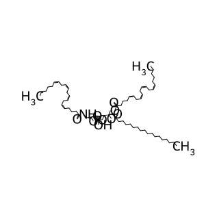 CCCCC/C=C\C/C=C\C/C=C\C/C=C\CCCC(=O)NCCOP(=O)(O)OC[C@@H](COC(=O)CCC/C=C\C/C=C\C/C=C\C/C=C\CCCCC)OC(=O)CCCCCCCCCCCCCCCCC